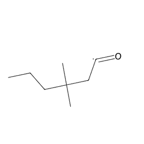 CCCC(C)(C)C[C]=O